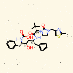 Cc1nc(CN2CCN([C@H](C(=O)N[C@@H](Cc3ccccc3)C[C@H](O)[C@H](Cc3ccccc3)NC(=O)O)C(C)(C)C)C2=O)cs1